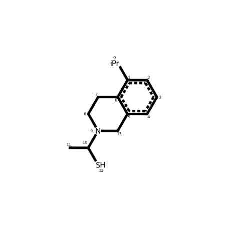 CC(C)c1cccc2c1CCN(C(C)S)C2